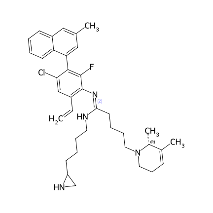 C=Cc1cc(Cl)c(-c2cc(C)cc3ccccc23)c(F)c1/N=C(/CCCCN1CCC=C(C)[C@H]1C)NCCCCC1CN1